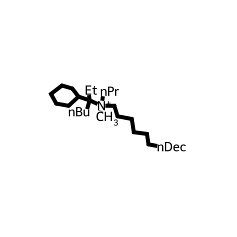 CCCCCCCCCCCCCCCC[N+](C)(CCC)C(CC)(CCCC)C1CCCCC1